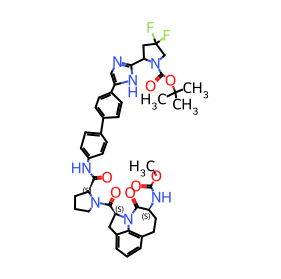 COC(=O)N[C@H]1CCc2cccc3c2N(C1=O)[C@H](C(=O)N1CCC[C@H]1C(=O)Nc1ccc(-c2ccc(-c4cnc(C5CC(F)(F)CN5C(=O)OC(C)(C)C)[nH]4)cc2)cc1)C3